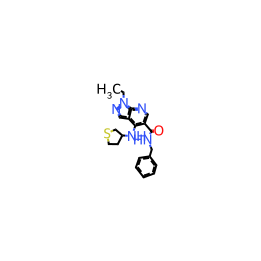 CCn1ncc2c(NC3CCSC3)c(C(=O)NCc3ccccc3)cnc21